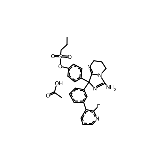 CC(=O)O.CCCS(=O)(=O)Oc1ccc(C2(c3cccc(-c4cccnc4F)c3)N=C(N)N3CCCN=C32)cc1